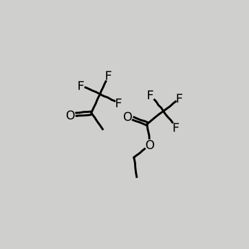 CC(=O)C(F)(F)F.CCOC(=O)C(F)(F)F